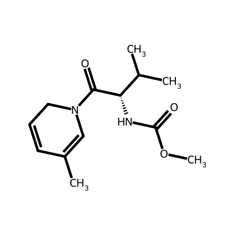 COC(=O)N[C@H](C(=O)N1C=C(C)C=CC1)C(C)C